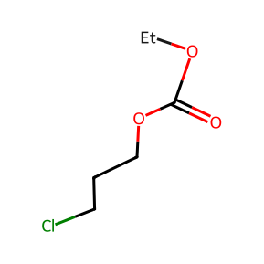 CCOC(=O)OCCCCl